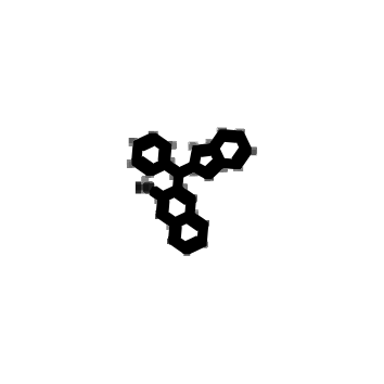 Oc1cc2ccccc2cc1C(c1ccccc1)C1C=c2ccccc2=C1